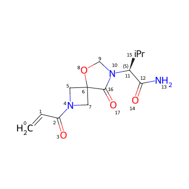 C=CC(=O)N1CC2(C1)OCN([C@H](C(N)=O)C(C)C)C2=O